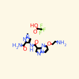 Cn1cc(NC(=O)c2cnn3ccc(OCCN)nc23)c(C(N)=O)n1.O=C(O)C(F)(F)F